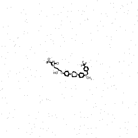 CN(Cc1ccc(C(F)(F)F)cc1)c1ccc(N2CCN(c3ccc(OC[C@H](O)CCn4cc([N+](=O)[O-])nc4Cl)cc3)CC2)cc1